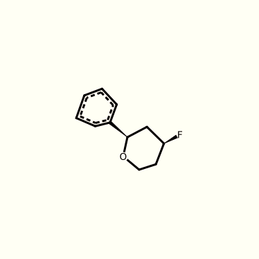 F[C@H]1CCO[C@@H](c2ccccc2)C1